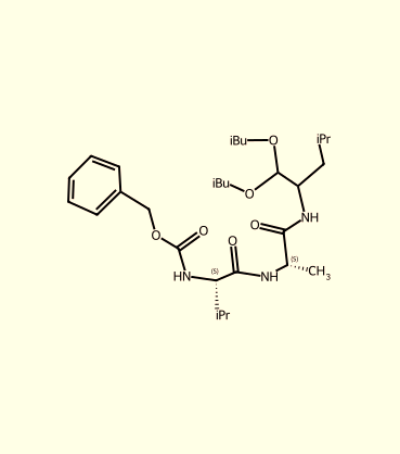 CCC(C)OC(OC(C)CC)C(CC(C)C)NC(=O)[C@H](C)NC(=O)[C@@H](NC(=O)OCc1ccccc1)C(C)C